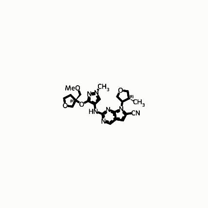 COC[C@]1(Oc2nn(C)cc2Nc2ncc3cc(C#N)n(C4COC[C@@H]4C)c3n2)CCOC1